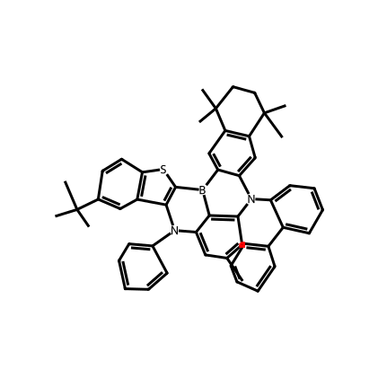 Cc1cc2c3c(c1)N(c1ccccc1)c1c(sc4ccc(C(C)(C)C)cc14)B3c1cc3c(cc1N2c1ccccc1-c1ccccc1)C(C)(C)CCC3(C)C